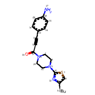 CC(C)(C)c1csc(N2CCN(C(=O)C#Cc3ccc(N)cc3)CC2)n1